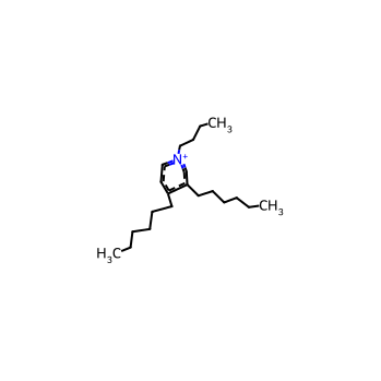 CCCCCCc1cc[n+](CCCC)cc1CCCCCC